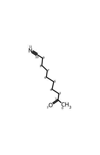 CC(=O)CCCCCCCC#N